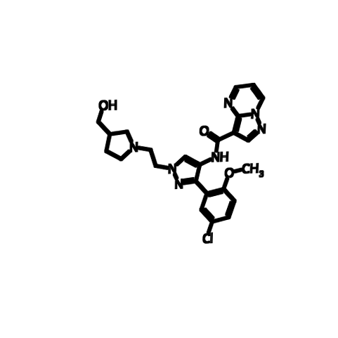 COc1ccc(Cl)cc1-c1nn(CCN2CCC(CO)C2)cc1NC(=O)c1cnn2cccnc12